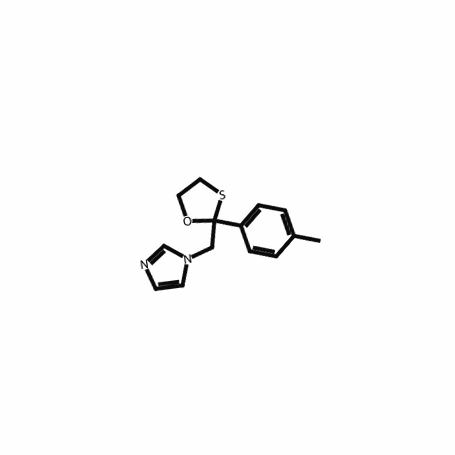 Cc1ccc(C2(Cn3ccnc3)OCCS2)cc1